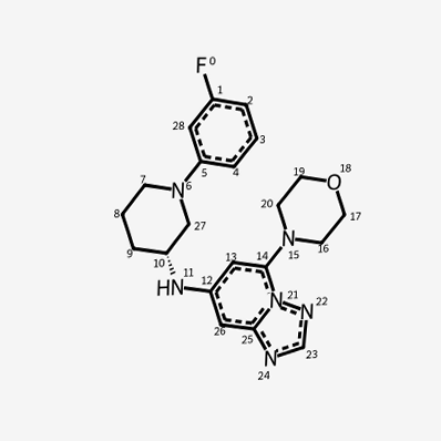 Fc1cccc(N2CCC[C@@H](Nc3cc(N4CCOCC4)n4ncnc4c3)C2)c1